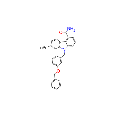 CCCc1c[c]c2c3c(C(N)=O)cccc3n(Cc3cccc(OCc4ccccc4)c3)c2c1